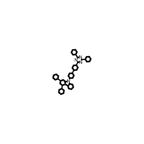 c1ccc(-c2cc(-c3ccccc3)c3c4ccccc4n(-c4ccc(-c5ccc(-c6nc(-c7ccccc7)nc(-c7ccccc7)n6)cc5)cc4)c3c2)cc1